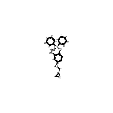 CC(C)(C)[Si](Oc1ccc(OC[C@@H]2CO2)cc1F)(c1ccccc1)c1ccccc1